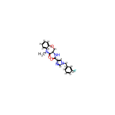 CN1C(=O)[C@H](NC(=O)c2cn(Cc3cccc(F)c3)cn2)COc2ccccc21